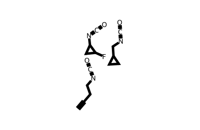 C#CCCN=C=O.O=C=NC1CC1F.O=C=NCC1CC1